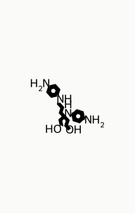 Nc1ccc(NCCCC(CCO)(CCO)Nc2ccc(N)cc2)cc1